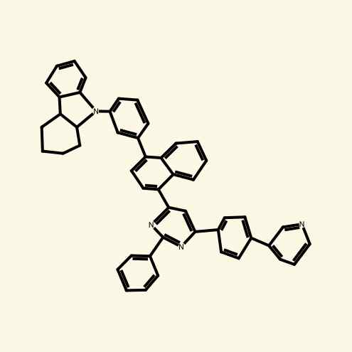 c1ccc(-c2nc(-c3ccc(-c4cccnc4)cc3)cc(-c3ccc(-c4cccc(N5c6ccccc6C6CCCCC65)c4)c4ccccc34)n2)cc1